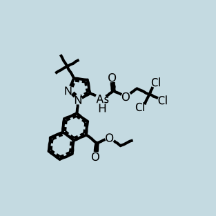 CCOC(=O)c1cc(-n2nc(C(C)(C)C)cc2[AsH]C(=O)OCC(Cl)(Cl)Cl)cc2ccccc12